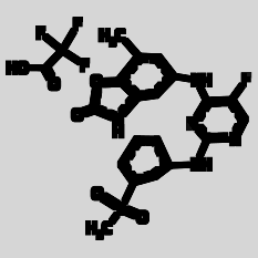 Cc1cc(Nc2nc(Nc3cccc(S(C)(=O)=O)c3)ncc2F)cc2[nH]c(=O)oc12.O=C(O)C(F)(F)F